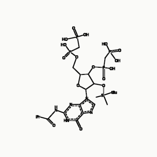 CC(C)C(=O)Nc1nc2c(ncn2C2OC(COP(=O)(O)CP(=O)(O)O)C(OP(=O)(O)CP(=O)(O)O)C2O[Si](C)(C)C(C)(C)C)c(=O)[nH]1